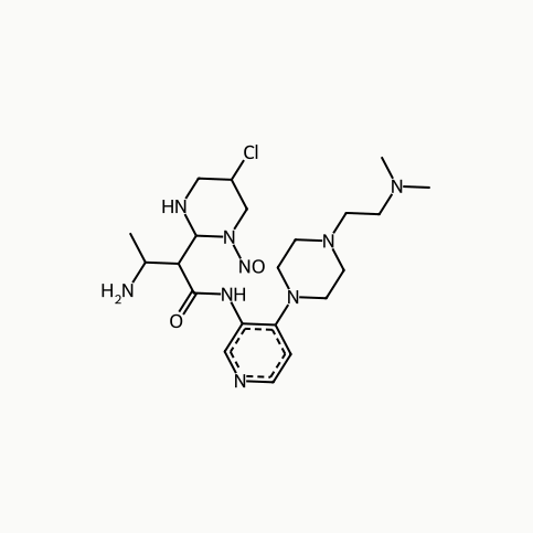 CC(N)C(C(=O)Nc1cnccc1N1CCN(CCN(C)C)CC1)C1NCC(Cl)CN1N=O